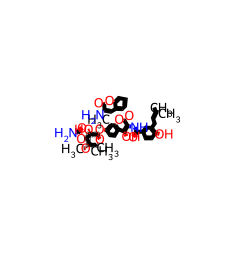 CO[C@@H]1[C@@H](OC(N)=O)[C@@H](O)[C@H](Oc2ccc3c(O)c(NC(=O)c4ccc(O)c(CC=C(C)C)c4)c(=O)oc3c2C)OC1(C)C.Nc1cc2ccccc2oc1=O